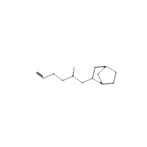 C=CCCC(O)CC1CC2CCC1C2